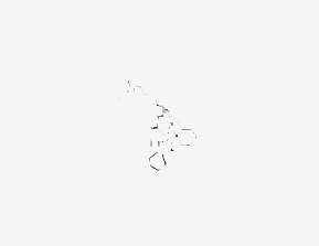 CC(C)[C@@H](C(=O)c1nnc(SCCN(C)C)o1)N(C=O)C1(NC(=O)c2ccccc2)CCCCC1